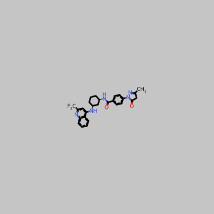 CC1=NN(c2ccc(C(=O)N[C@@H]3CCC[C@H](Nc4cc(C(F)(F)F)nc5ccccc45)C3)cc2)C(=O)C1